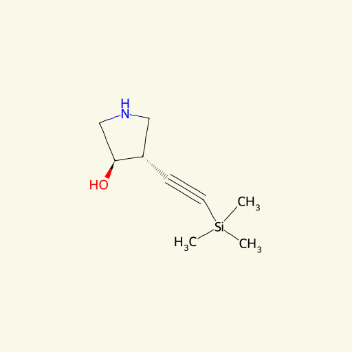 C[Si](C)(C)C#C[C@H]1CNC[C@@H]1O